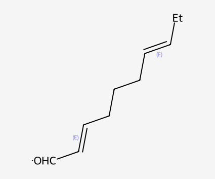 CC/C=C/CCC/C=C/[C]=O